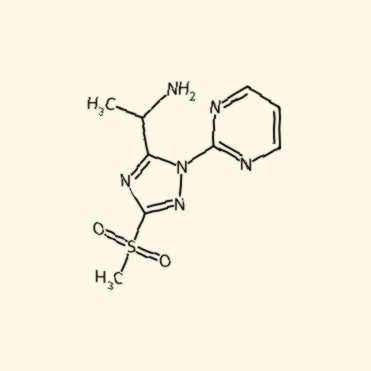 CC(N)c1nc(S(C)(=O)=O)nn1-c1ncccn1